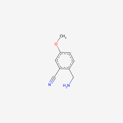 COc1[c]cc(CN)c(C#N)c1